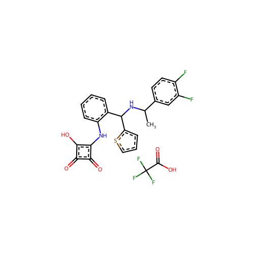 CC(NC(c1cccs1)c1ccccc1Nc1c(O)c(=O)c1=O)c1ccc(F)c(F)c1.O=C(O)C(F)(F)F